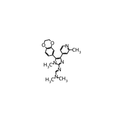 Cc1cc(-c2nc(N=CN(C)C)n(C)c2-c2ccc3c(c2)OCCO3)ccn1